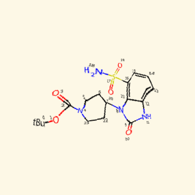 CC(C)(C)OC(=O)N1CCC(n2c(=O)[nH]c3cccc(S(N)(=O)=O)c32)CC1